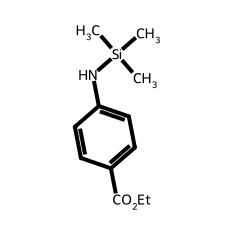 CCOC(=O)c1ccc(N[Si](C)(C)C)cc1